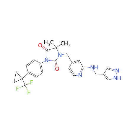 CC1(C)C(=O)N(c2ccc(C3(C(F)(F)F)CC3)cc2)C(=O)N1Cc1ccnc(NCc2cn[nH]c2)c1